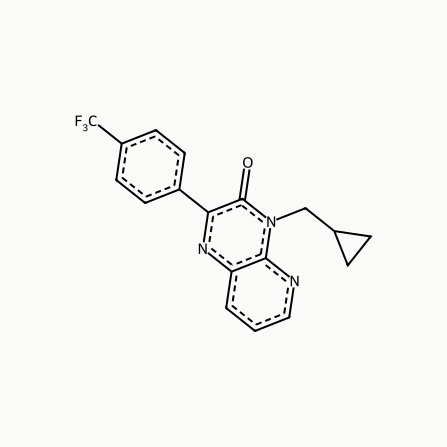 O=c1c(-c2ccc(C(F)(F)F)cc2)nc2cccnc2n1CC1CC1